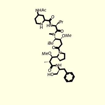 CC[C@H](C)[C@@H]([C@@H](CC(=O)N1CCC[C@H]1[C@H](OC)[C@@H](C)C(=O)N[C@H](CO)Cc1ccccc1)OC)N(C)C(=O)[C@@H](NC(=O)C1CC(NC(C)=O)CCN1)C(C)C